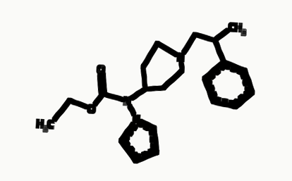 CCOC(=O)N(C1CCN(CC(C)c2ccccc2)CC1)n1cccc1